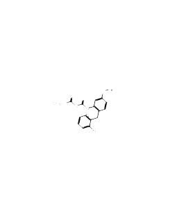 CCCSc1ccc(Cc2ccccc2N)c(NC(=S)NC(=O)OC)c1